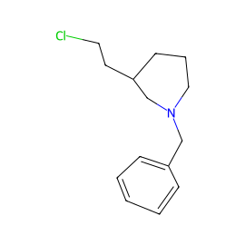 ClCCC1CCCN(Cc2ccccc2)C1